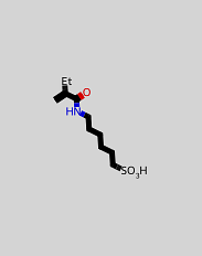 C=C(CC)C(=O)NCCCCCCS(=O)(=O)O